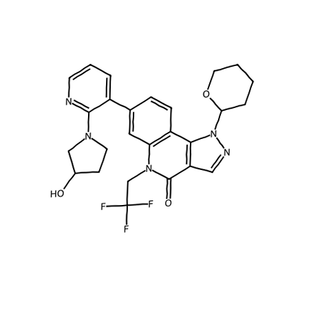 O=c1c2cnn(C3CCCCO3)c2c2ccc(-c3cccnc3N3CCC(O)C3)cc2n1CC(F)(F)F